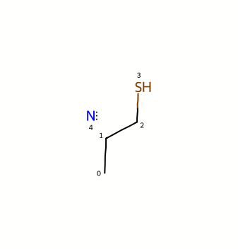 CCCS.[N]